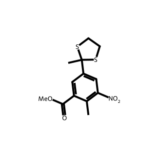 COC(=O)c1cc(C2(C)SCCS2)cc([N+](=O)[O-])c1C